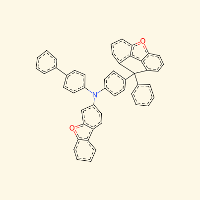 c1ccc(-c2ccc(N(c3ccc(C4(c5ccccc5)c5cccc6oc7cccc4c7c56)cc3)c3ccc4c(c3)oc3ccccc34)cc2)cc1